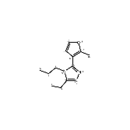 CCCn1c(CC)nnc1-c1ccoc1C